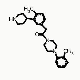 Cc1ccc(CC(=O)N2CCN(c3ccccc3C)CC2)cc1C1CCNCC1